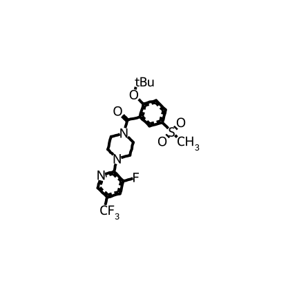 CC(C)(C)Oc1ccc(S(C)(=O)=O)cc1C(=O)N1CCN(c2ncc(C(F)(F)F)cc2F)CC1